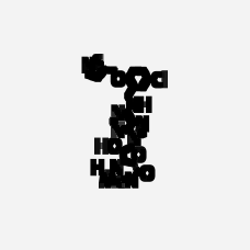 CNC(=O)[C@H]1O[C@@H](n2cnc3c(NCc4cc(Cl)ccc4OCc4ccns4)ncnc32)[C@H](O)[C@@H]1N